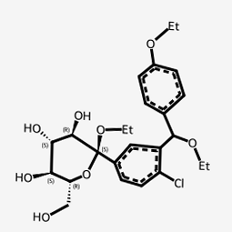 CCOc1ccc(C(OCC)c2cc([C@]3(OCC)O[C@H](CO)[C@@H](O)[C@H](O)[C@H]3O)ccc2Cl)cc1